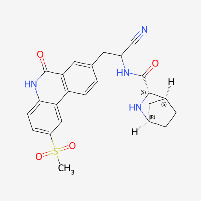 CS(=O)(=O)c1ccc2[nH]c(=O)c3cc(CC(C#N)NC(=O)[C@H]4N[C@@H]5CC[C@H]4C5)ccc3c2c1